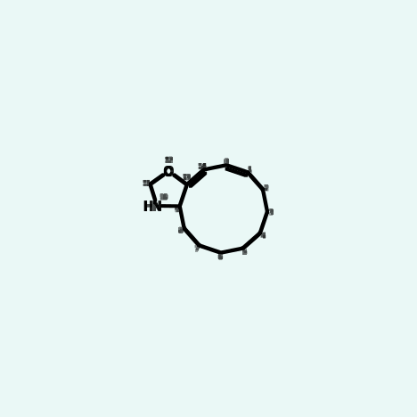 C1=CCCCCCCCC2NCOC2=C1